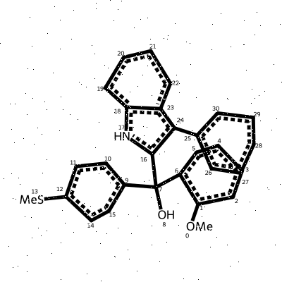 COc1ccccc1C(O)(c1ccc(SC)cc1)c1[nH]c2ccccc2c1-c1ccccc1